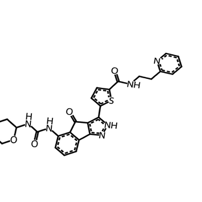 O=C(Nc1cccc2c1C(=O)c1c-2n[nH]c1-c1ccc(C(=O)NCCc2ccccn2)s1)NC1CNCCO1